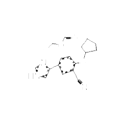 CCOC=O.N#Cc1cc(-c2c[nH]cn2)ccc1OC1CCCC1